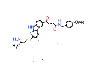 COc1ccc(CNC(=O)CCC(=O)c2ccc3[nH]c4nc(CCCC(C)N)ccc4c3c2)cc1